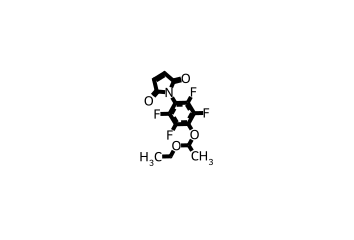 CCOC(C)Oc1c(F)c(F)c(N2C(=O)C=CC2=O)c(F)c1F